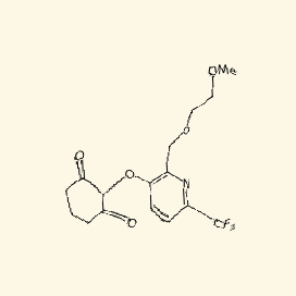 COCCOCc1nc(C(F)(F)F)ccc1OC1C(=O)CCCC1=O